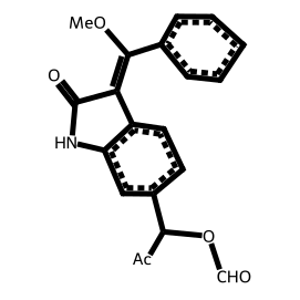 COC(=C1C(=O)Nc2cc(C(OC=O)C(C)=O)ccc21)c1ccccc1